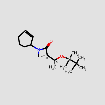 C[C@@H](O[Si](C)(C)C(C)(C)C)[C@@H]1CN(C2C=CCCC2)C1=O